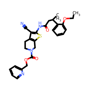 CCOc1ccccc1C(C)CC(=O)Nc1sc2c(c1C#N)CCN(C(=O)OCc1ccccn1)C2